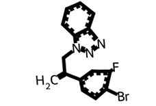 C=C(Cn1nnc2ccccc21)c1ccc(Br)c(F)c1